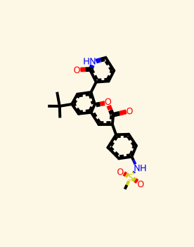 CC(C)(C)c1cc(-c2ccc[nH]c2=O)c2oc(=O)c(-c3ccc(NS(C)(=O)=O)cc3)cc2c1